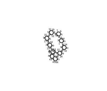 c1ccc(-c2cccc(-c3cccc(-c4cccc(-c5ccc(-c6nc(-c7cccc(-c8ccccc8)c7)c7c(ccc8ccccc87)n6)cc5)c4)c3)c2)cc1